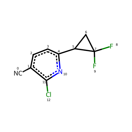 N#Cc1ccc(C2CC2(F)F)nc1Cl